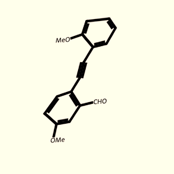 COc1ccc(C#Cc2ccccc2OC)c(C=O)c1